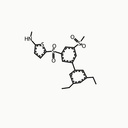 CCc1cc(CC)cc(-c2cc(S(C)(=O)=O)cc(S(=O)(=O)c3ccc(NC)s3)c2)c1